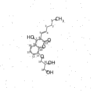 CCCCC=Cc1c(O)c2cccc(OCC(O)CO)c2oc1=O